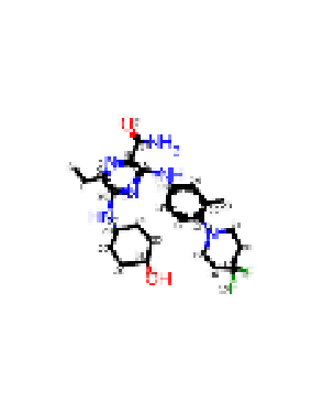 CCc1nc(C(N)=O)c(Nc2ccc(N3CCC(F)(F)CC3)c(C)c2)nc1N[C@H]1CC[C@H](O)CC1